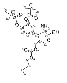 CCCCOC(=O)OCC(C)C(c1ccc(OC(=O)C(C)(C)C)c(OC(=O)C(C)(C)C)c1)[C@H](N)C(=O)O